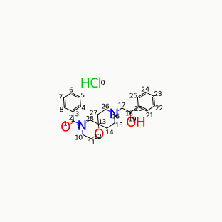 Cl.O=C(c1ccccc1)N1CCOC2(CCN(CC(O)c3ccccc3)CC2)C1